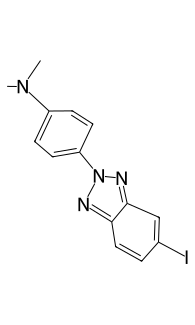 CN(C)c1ccc(-n2nc3ccc(I)cc3n2)cc1